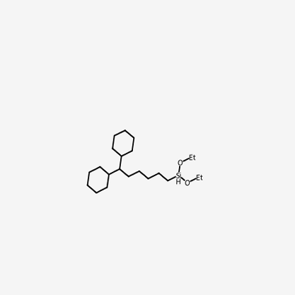 CCO[SiH](CCCCCC(C1CCCCC1)C1CCCCC1)OCC